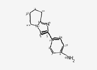 Nc1ccc(-c2cn3c(n2)CCCC3)cc1